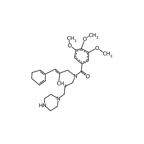 COc1cc(C(=O)N(CCCN2CCNCC2)C/C(C)=C/C2=CCCC=C2)cc(OC)c1OC